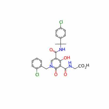 CC(C)(NC(=O)c1cn(Cc2ccccc2Cl)c(=O)c(C(=O)NCC(=O)O)c1O)c1ccc(Cl)cc1